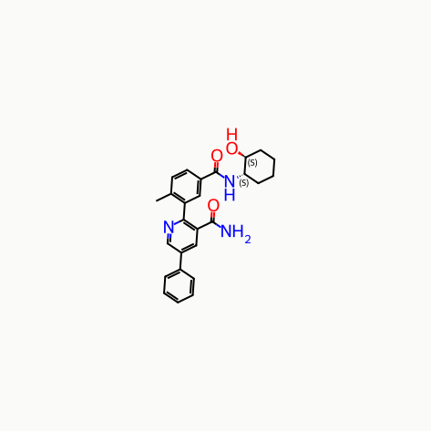 Cc1ccc(C(=O)N[C@H]2CCCC[C@@H]2O)cc1-c1ncc(-c2ccccc2)cc1C(N)=O